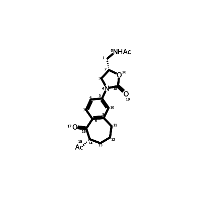 CC(=O)NC[C@H]1CN(c2ccc3c(c2)CCC[C@H](C(C)=O)C3=O)C(=O)O1